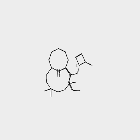 CCC(C[C@@H]1CCC1C)C12CCCCCC(CCC(C)(C)CCC(C)(CC)C1)N2